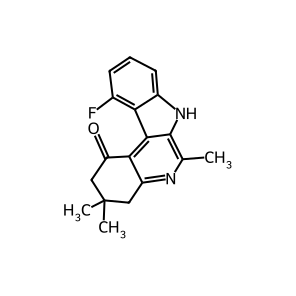 Cc1nc2c(c3c1[nH]c1cccc(F)c13)C(=O)CC(C)(C)C2